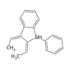 C/C=C1\C(=C/C)[SiH](c2ccccc2)c2ccccc21